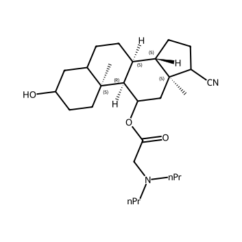 CCCN(CCC)CC(=O)OC1C[C@]2(C)C(C#N)CC[C@H]2[C@@H]2CCC3CC(O)CC[C@]3(C)[C@H]12